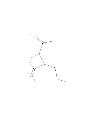 C=C1NC(C(=C)C)C1CCC